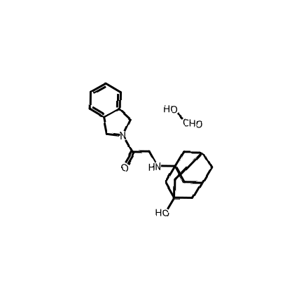 O=C(CNC12CC3CC(CC(O)(C3)C1)C2)N1Cc2ccccc2C1.O=CO